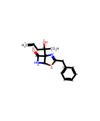 C=CCC(O)(C(=O)O)C12N=C(Cc3ccccc3)SC1NC2=O